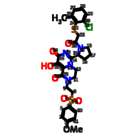 COc1ccc(S(=O)(=O)CCN2CCn3c([C@@H]4CCCN4C(=O)CSc4c(C)cccc4Cl)nc(=O)c(O)c3C2=O)cc1